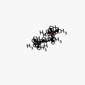 CC(=O)OC[C@H]1OC(OCC(=O)NCCCC[C@H](NC(=O)CO[C@@H]2O[C@H](COC(C)=O)[C@H](OC(C)=O)[C@H](OC(C)=O)[C@H]2N)C(C)=O)C[C@@H](OC(C)=O)[C@H]1OC(C)=O